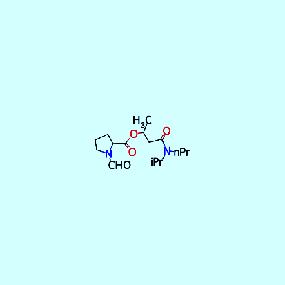 CCCN(C(=O)CC(C)OC(=O)C1CCCN1C=O)C(C)C